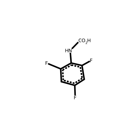 O=C(O)Nc1c(F)cc(F)cc1F